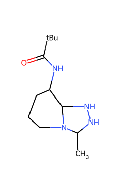 CC1NNC2C(NC(=O)C(C)(C)C)CCCN12